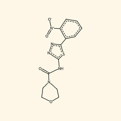 O=C(Nc1nnc(-c2ccccc2[N+](=O)[O-])s1)N1CCOCC1